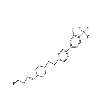 FCCC=CC1CCC(CCc2ccc(-c3ccc(C(F)(F)F)c(F)c3)cc2)CC1